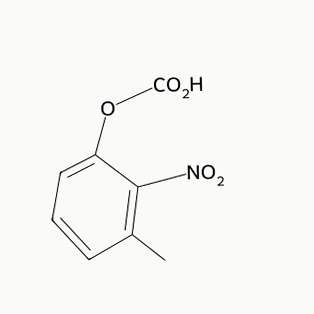 Cc1cccc(OC(=O)O)c1[N+](=O)[O-]